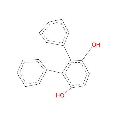 Oc1ccc(O)c(-c2ccccc2)c1-c1ccccc1